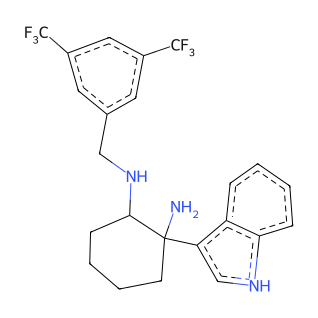 NC1(c2c[nH]c3ccccc23)CCCCC1NCc1cc(C(F)(F)F)cc(C(F)(F)F)c1